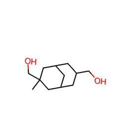 CC1(CO)CC2CC(CO)CC(C2)C1